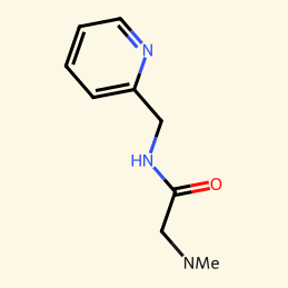 CNCC(=O)NCc1ccccn1